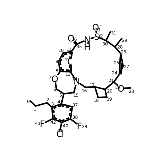 CCCc1c(C2COc3ccc4cc3N(C2)CC2CCC2C(OC)C2=CC(C2)C(C)C(C)[S+]([O-])NC4=O)cc(F)c(Cl)c1F